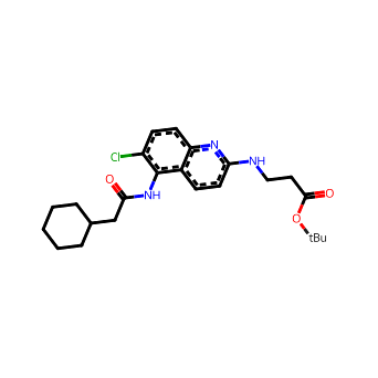 CC(C)(C)OC(=O)CCNc1ccc2c(NC(=O)CC3CCCCC3)c(Cl)ccc2n1